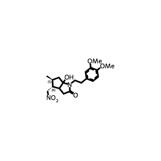 COc1ccc(CCN2C(=O)CC3[C@H](C[N+](=O)[O-])[C@@H](C)CC32O)cc1OC